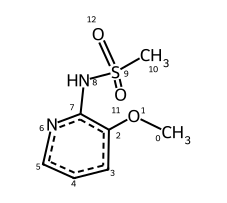 COc1cccnc1NS(C)(=O)=O